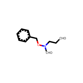 O=CCCN(C=O)OCc1ccccc1